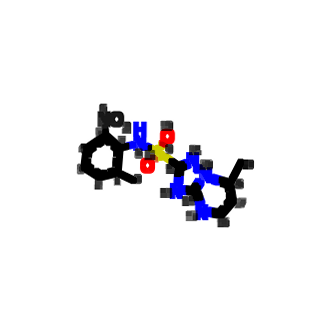 Cc1cccc([N+](=O)[O-])c1NS(=O)(=O)c1nc2nccc(C)n2n1